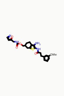 COc1cccc(CCC(=O)Nc2sc3c(c2N)CCC(COC(=O)NCc2ccno2)C3)c1